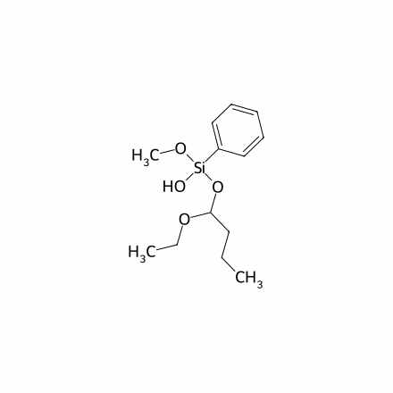 CCCC(OCC)O[Si](O)(OC)c1ccccc1